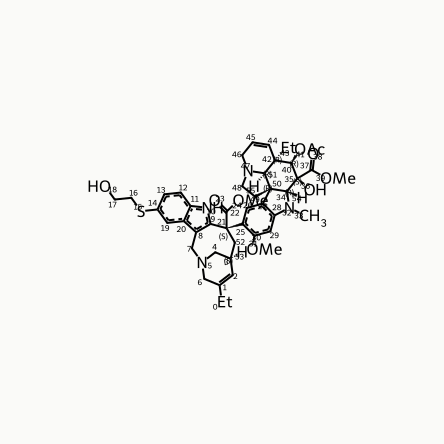 CCC1=C[C@H]2CN(C1)Cc1c([nH]c3ccc(SCCO)cc13)[C@@](C(=O)OC)(c1cc3c(cc1OC)N(C)[C@H]1[C@@](O)(C(=O)OC)[C@H](OC(C)=O)[C@]4(CC)C=CCN5CC[C@]31[C@@H]54)C2